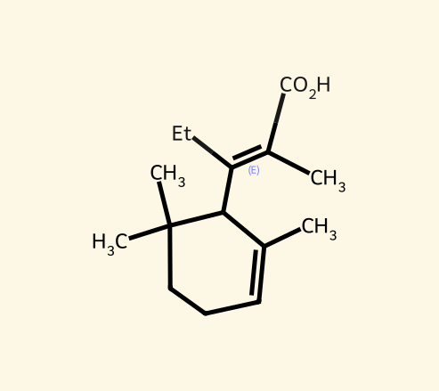 CC/C(=C(/C)C(=O)O)C1C(C)=CCCC1(C)C